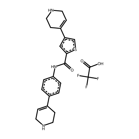 O=C(Nc1ccc(C2=CCNCC2)cc1)c1cc(C2=CCNCC2)cs1.O=C(O)C(F)(F)F